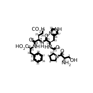 N[C@H](CO)C(=O)N1CCC[C@@H]1C(=O)N[C@H](Cc1c[nH]cn1)C(=O)N[C@H](CCC(=O)O)C(=O)N[C@@H](Cc1ccccc1)C(=O)O